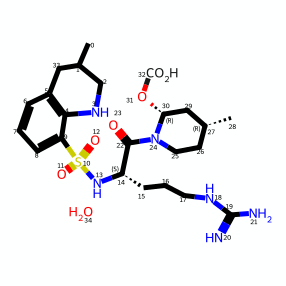 CC1CNc2c(cccc2S(=O)(=O)N[C@@H](CCCNC(=N)N)C(=O)N2CC[C@@H](C)C[C@H]2OC(=O)O)C1.O